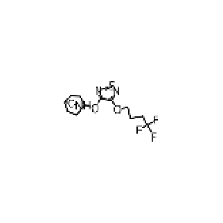 FC(F)(F)CCCOc1nsnc1OC12CCC(CC1)CN2